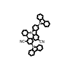 N#Cc1ccc2c(c1)c1cc(-n3c4ccccc4c4ccccc43)ccc1n2-c1ccccc1-c1ccc(-n2c3ccccc3c3ccccc32)cc1C#N